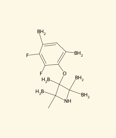 Bc1cc(B)c(OC2(B)C(B)(B)NC2(B)C)c(F)c1F